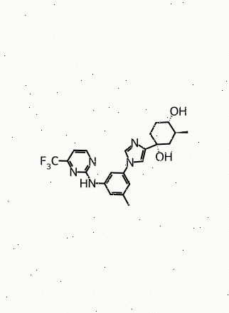 Cc1cc(Nc2nccc(C(F)(F)F)n2)cc(-n2cnc([C@@]3(O)CC[C@H](O)[C@@H](C)C3)c2)c1